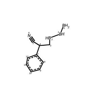 BBBCC(C#N)c1ccccc1